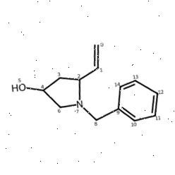 C=CC1CC(O)CN1Cc1ccccc1